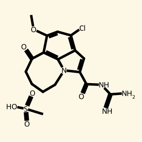 COc1cc(Cl)c2cc(C(=O)NC(=N)N)n3c2c1C(=O)CCCC3.CS(=O)(=O)O